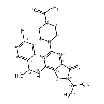 CC(=O)N1CCN(c2nc(NC(C)c3ccc(F)cc3)c3c(n2)C(=O)N(C(C)C)C3)CC1